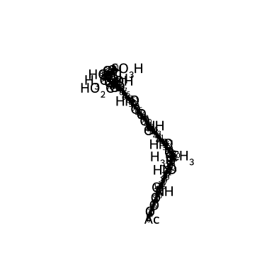 CC(=O)CCOCCOCCOCCNC(=O)CCCCCCCNC(=O)CCOCC(C)(C)COCCC(=O)NCCCCCCCC(=O)NCCOCCOCCOCCC(=O)NCCCCCCOC1OC(C(=O)O)C(OC2OC(COS(=O)(=O)O)C(O)C(O)C2C)C(O)C1O